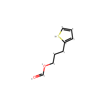 O=[C]OCCCc1cccs1